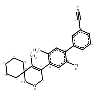 Cc1cc(-c2cccc(C#N)c2)c(Cl)cc1C1=C(N)C2(CCCCC2)OOC1